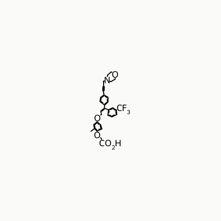 Cc1cc(OCC=C(c2ccc(C#CCN3CCOCC3)cc2)c2cccc(C(F)(F)F)c2)ccc1OCC(=O)O